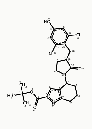 CC(C)(C)OC(=O)n1cc2c(n1)CCCC2N1CC[C@@H](Cc2c(Cl)cc(O)cc2Cl)C1=O